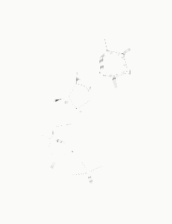 O=c1[nH]c(=O)n([C@@H]2O[C@H](COP(=O)(O)OP(=O)(O)OP(=O)(O)O)[C@@H](O)[C@@]2(F)Cl)cc1F